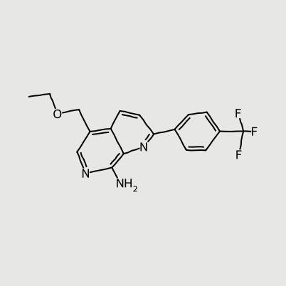 CCOCc1cnc(N)c2nc(-c3ccc(C(F)(F)F)cc3)ccc12